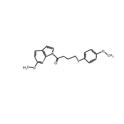 COc1ccc(SCCCC(=O)n2ccc3ccc(OC)cc32)cc1